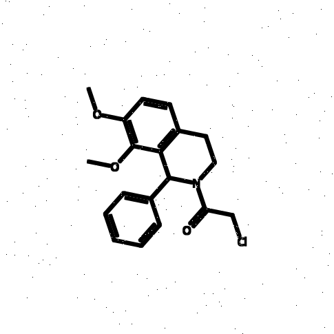 COc1ccc2c(c1OC)C(c1ccccc1)N(C(=O)CCl)CC2